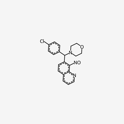 O=Nc1c(C(c2ccc(Cl)cc2)N2CCOCC2)ccc2cccnc12